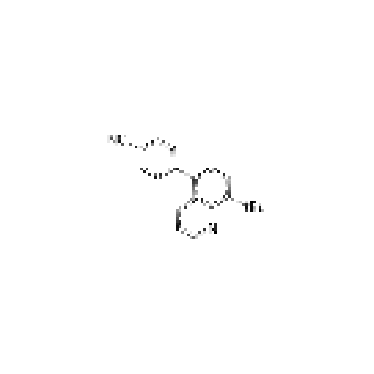 CC(C)(C)c1ccc(-c2ccc(C#N)cc2)c2cccnc12